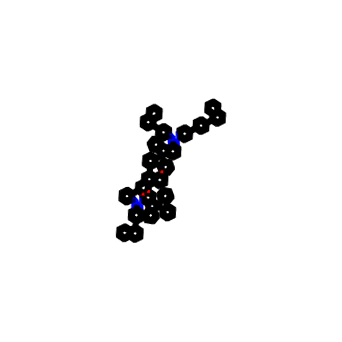 c1ccc(C2(c3cccc(-c4cc5cc(-c6ccccc6N(c6ccc(-c7cccc8ccccc78)cc6)c6cccc7c6-c6ccccc6C7(c6ccccc6)c6ccccc6)ccc5c5ccccc45)c3)c3ccccc3-c3c(N(c4ccc(-c5ccc(-c6cccc7ccccc67)cc5)cc4)c4ccc(-c5cccc6ccccc56)cc4)cccc32)cc1